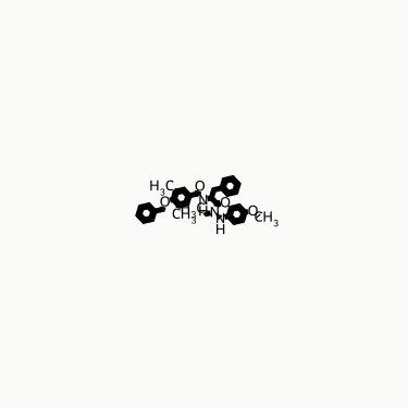 CCN(Nc1ccc(OC)cc1)C(=O)C(Cc1ccccc1)NC(=O)c1cc(C)c(OCc2ccccc2)c(C)c1